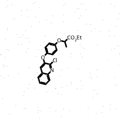 CCOC(=O)C(C)Oc1ccc(Oc2cc3ccccc3nc2Cl)cc1